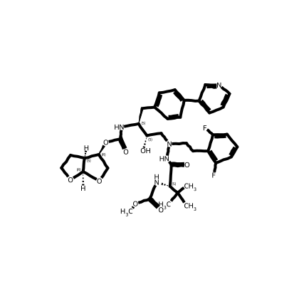 COC(=O)N[C@H](C(=O)NN(CCc1c(F)cccc1F)C[C@H](O)[C@H](Cc1ccc(-c2cccnc2)cc1)NC(=O)O[C@H]1CO[C@H]2OCC[C@H]21)C(C)(C)C